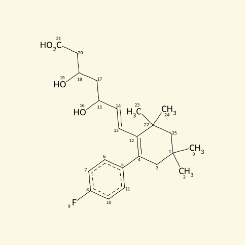 CC1(C)CC(c2ccc(F)cc2)=C(C=CC(O)CC(O)CC(=O)O)C(C)(C)C1